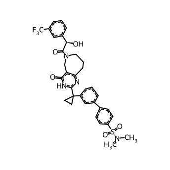 CN(C)S(=O)(=O)c1ccc(-c2cccc(C3(c4nc5c(c(=O)[nH]4)CN(C(=O)[C@H](O)c4cccc(C(F)(F)F)c4)CCC5)CC3)c2)cc1